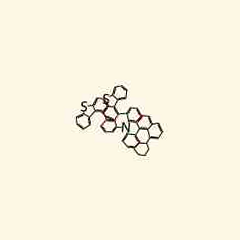 c1cc(-c2cccc3sc4ccccc4c23)cc(N(c2ccccc2-c2cccc3cccc(C4CCCCC4)c23)c2ccccc2-c2cccc3sc4ccccc4c23)c1